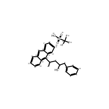 CC(CC(S)Cc1ccccc1)c1c2ccccc2cc2ccccc12.O=S(=O)(O)C(F)(F)F